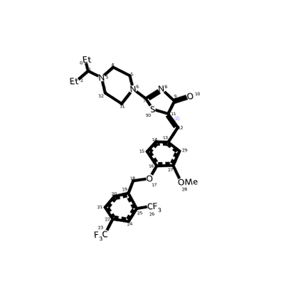 CCC(CC)N1CCN(C2=NC(=O)/C(=C/c3ccc(OCc4ccc(C(F)(F)F)cc4C(F)(F)F)c(OC)c3)S2)CC1